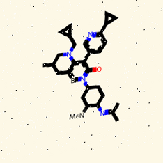 CNC1CC(n2bc3c(c(-c4ccc(C5CC5)nc4)c2=O)N(CC2CC2)CC(C)C3)CCC1N=C(C)C